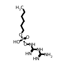 CCCCCCOP(=O)(O)ONC(=N)NC(=N)N